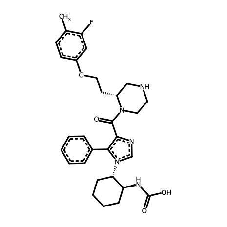 Cc1ccc(OCC[C@@H]2CNCCN2C(=O)c2ncn([C@H]3CCCC[C@@H]3NC(=O)O)c2-c2ccccc2)cc1F